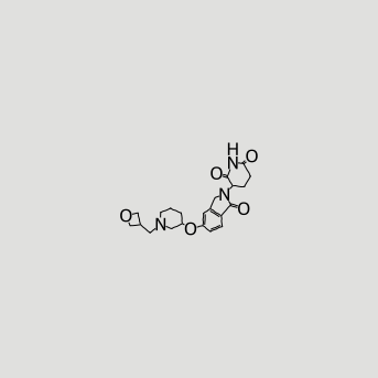 O=C1CCC(N2Cc3cc(OC4CCCN(CC5COC5)C4)ccc3C2=O)C(=O)N1